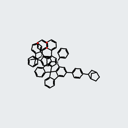 CC1(C)c2ccccc2-c2cc(N(c3ccccc3)c3cc(-c4ccc(C5CC6CCC5C6)cc4)cc4c3C3(c5ccccc5-4)c4ccccc4-c4c3ccc(-c3ccccc3)c4N(c3ccccc3)c3ccccc3)ccc21